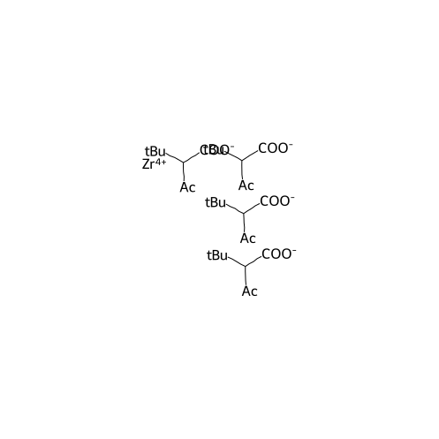 CC(=O)C(C(=O)[O-])C(C)(C)C.CC(=O)C(C(=O)[O-])C(C)(C)C.CC(=O)C(C(=O)[O-])C(C)(C)C.CC(=O)C(C(=O)[O-])C(C)(C)C.[Zr+4]